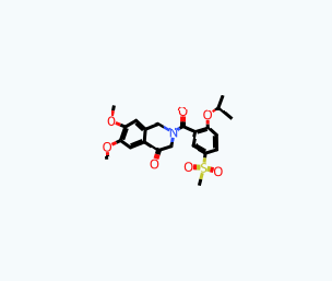 COc1cc2c(cc1OC)C(=O)CN(C(=O)c1cc(S(C)(=O)=O)ccc1OC(C)C)C2